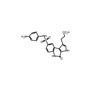 Nc1ccc(NS(=O)(=O)c2ccc3[nH]c(=O)c4[nH]cc(CCC(=O)O)c4c3c2)cc1